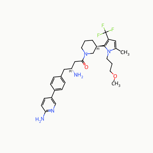 COCCCn1c(C)cc(C(F)(F)F)c1[C@@H]1CCCN(C(=O)C[C@H](N)Cc2ccc(-c3ccc(N)nc3)cc2)C1